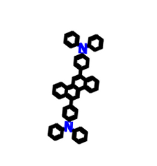 C1=CCC(N(C2=CC=C(c3cc4c5ccccc5c(-c5ccc(N(c6ccccc6)c6ccccc6)cc5)cc4c4ccccc34)CC2)c2ccccc2)C=C1